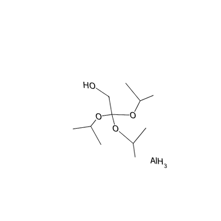 CC(C)OC(CO)(OC(C)C)OC(C)C.[AlH3]